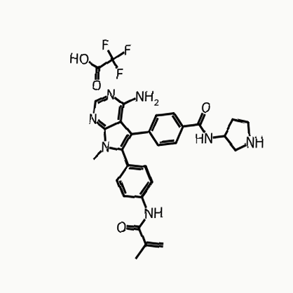 C=C(C)C(=O)Nc1ccc(-c2c(-c3ccc(C(=O)NC4CCNC4)cc3)c3c(N)ncnc3n2C)cc1.O=C(O)C(F)(F)F